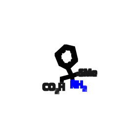 CSC(N)(CC(=O)O)c1ccccc1